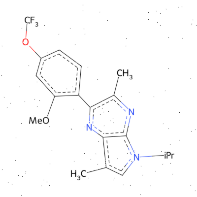 COc1cc(OC(F)(F)F)ccc1-c1nc2c(C)cn(C(C)C)c2nc1C